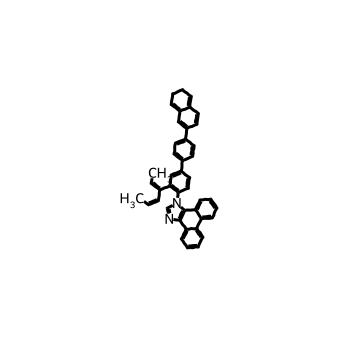 C/C=C\C(=C\C)c1cc(-c2ccc(-c3ccc4c(c3)=CCCC=4)cc2)ccc1-n1cnc2c3ccccc3c3ccccc3c21